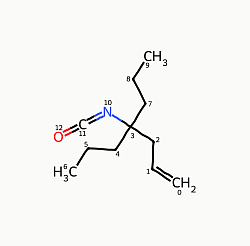 C=CCC(CCC)(CCC)N=C=O